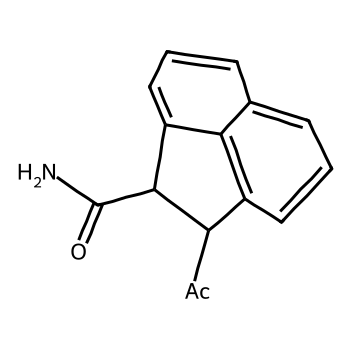 CC(=O)C1c2cccc3cccc(c23)C1C(N)=O